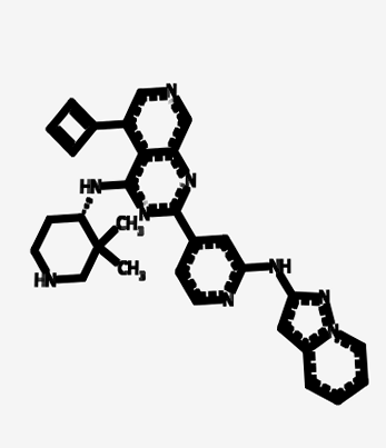 CC1(C)CNCC[C@@H]1Nc1nc(-c2ccnc(Nc3cc4ccccn4n3)c2)nc2cncc(C3=CC=C3)c12